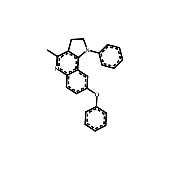 Cc1nc2ccc(Oc3ccccc3)cc2c2c1CCN2c1ccccc1